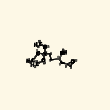 CO[Si](CCC(O)C[C@@H]1CO1)(OC)OC